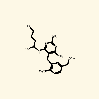 COc1ccc(CC(=O)O)cc1Cc1c(C)nc(N)nc1NC(C)CCCO